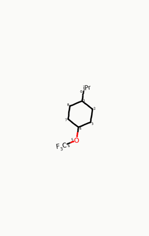 CC(C)C1CCC(OC(F)(F)F)CC1